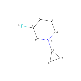 FC1CCCN(C2CC2)C1